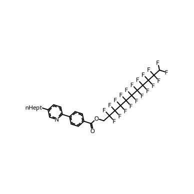 CCCCCCCc1ccc(-c2ccc(C(=O)OCC(F)(F)C(F)(F)C(F)(F)C(F)(F)C(F)(F)C(F)(F)C(F)(F)C(F)(F)C(F)(F)C(F)F)cc2)nc1